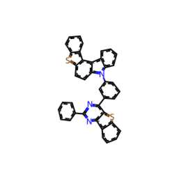 c1ccc(-c2nc(-c3cccc(-n4c5ccccc5c5c6c(ccc54)sc4ccccc46)c3)c3sc4ccccc4c3n2)cc1